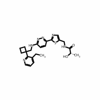 CCc1cccnc1C1(CNc2ccc(-c3ncc(CNC(=O)[C@H](C)O)s3)nn2)CCC1